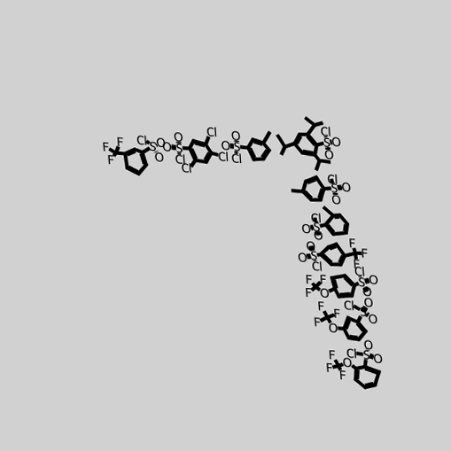 CC(C)c1cc(C(C)C)c(S(=O)(=O)Cl)c(C(C)C)c1.Cc1ccc(S(=O)(=O)Cl)cc1.Cc1cccc(S(=O)(=O)Cl)c1.Cc1ccccc1S(=O)(=O)Cl.O=S(=O)(Cl)c1cc(Cl)c(Cl)cc1Cl.O=S(=O)(Cl)c1ccc(C(F)(F)F)cc1.O=S(=O)(Cl)c1ccc(OC(F)(F)F)cc1.O=S(=O)(Cl)c1cccc(C(F)(F)F)c1.O=S(=O)(Cl)c1cccc(OC(F)(F)F)c1.O=S(=O)(Cl)c1ccccc1OC(F)(F)F